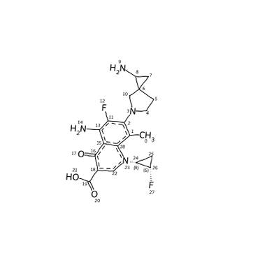 Cc1c(N2CCC3(CC3N)C2)c(F)c(N)c2c(=O)c(C(=O)O)cn([C@@H]3C[C@@H]3F)c12